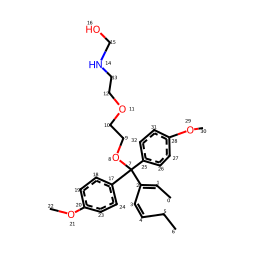 C/C=C(\C=C/CC)C(OCCOCCNCO)(c1ccc(OC)cc1)c1ccc(OC)cc1